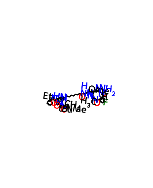 CC[C@H](NC(=O)[C@H]1C[C@@H](NCCCCCCCCC(=O)NCCn2nc3c(c2OC)-c2cnc(N)c(c2)N2CCC[C@@H]2c2cc(F)ccc2C(=O)N(C)C3)CN1C(=O)C(NC(=O)[C@@H](C)NC)C(C)(C)C)c1ccccc1